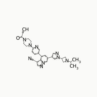 C#CC(=O)N1CCN(c2ccc(-c3cc(-c4cnn(C5CN(C(C)C)C5)c4)cn4ncc(C#N)c34)cn2)CC1